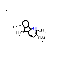 CCCCC1=C(C)NC2C(C=C1)C(C)C1C2CCC[C@@H]1CCC